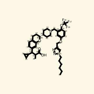 CCCCCCn1cc(COc2ccc(OC(F)(F)F)c(CN3CCC([C@H]4CCc5ccc(C(C6CC6)C(C)C(=O)O)cc5O4)CC3)c2)nn1